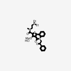 CCN(CC)CCN(C)C(=O)c1sc2c(c1OC)c(=O)n(CC(=O)c1ccccc1)c1ccccc21.Cl